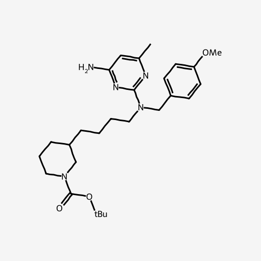 COc1ccc(CN(CCCCC2CCCN(C(=O)OC(C)(C)C)C2)c2nc(C)cc(N)n2)cc1